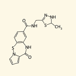 CC1NN=C(CNC(=O)c2ccc3c(c2)NC(=O)c2cccn2S3)S1